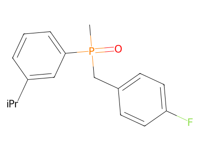 CC(C)c1cccc(P(C)(=O)Cc2ccc(F)cc2)c1